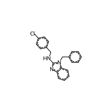 Clc1ccc(CNc2nc3ccccc3n2Cc2ccccc2)cc1